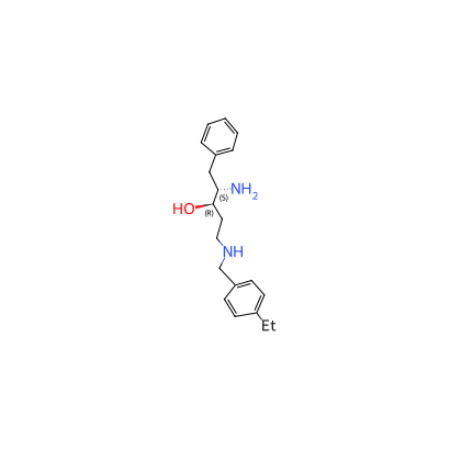 CCc1ccc(CNCC[C@@H](O)[C@@H](N)Cc2ccccc2)cc1